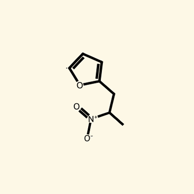 CC(Cc1cc[c]o1)[N+](=O)[O-]